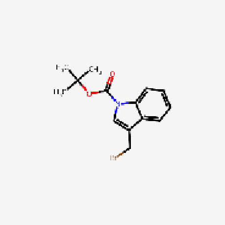 CC(C)(C)OC(=O)n1[c]c(CBr)c2ccccc21